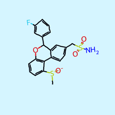 C[S+]([O-])c1cccc2c1-c1ccc(CS(N)(=O)=O)cc1C(c1cccc(F)c1)O2